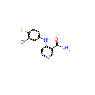 NC(=O)c1cnccc1Nc1ccc(F)c(Cl)c1